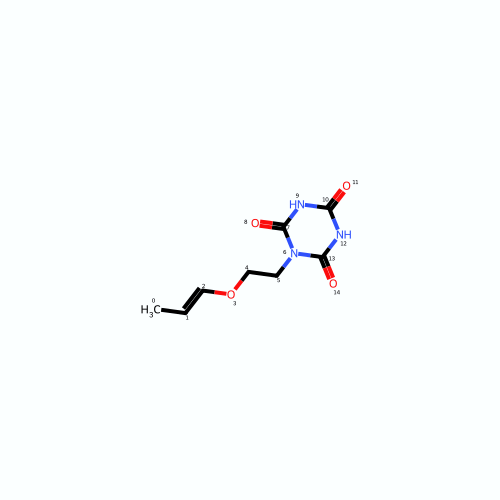 CC=COCCn1c(=O)[nH]c(=O)[nH]c1=O